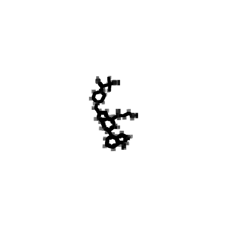 CC(C)(O)C(=O)N1CCN(Cc2cc3c(NCCO)nc(-c4cccc5[nH]ncc45)nc3s2)CC1